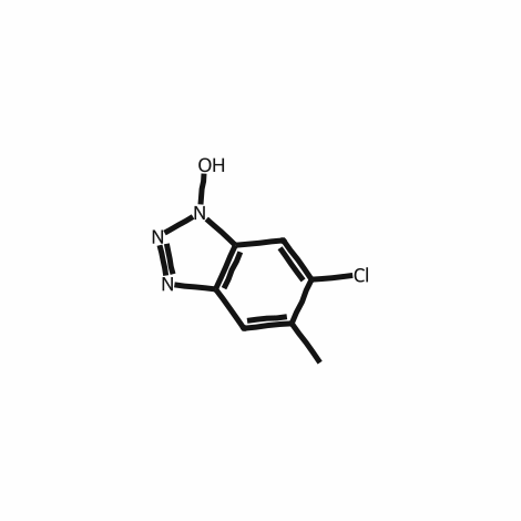 Cc1cc2nnn(O)c2cc1Cl